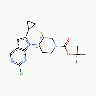 CC(C)(C)OC(=O)N1CC[C@@H](n2c(C3CC3)cc3cnc(Cl)nc32)[C@@H](F)C1